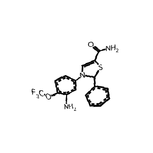 NC(=O)C1=CN(c2ccc(OC(F)(F)F)c(N)c2)C(c2ccccc2)S1